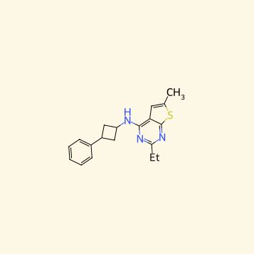 CCc1nc(NC2CC(c3ccccc3)C2)c2cc(C)sc2n1